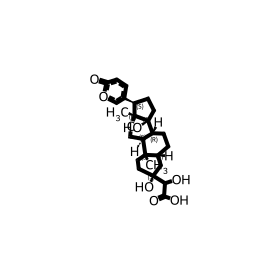 C[C@]12CC[C@@](O)(C(O)C(=O)O)C[C@H]1CC[C@@H]1[C@@H]2CC[C@]2(C)[C@@H](c3ccc(=O)oc3)CC[C@]12O